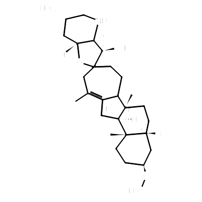 CO[C@H]1CC[C@@]2(C)[C@H](CC[C@H]3[C@@H]4CCC5(CC(C)=C4C[C@@H]32)O[C@@H]2C[C@H](C)CN[C@H]2[C@H]5C)C1